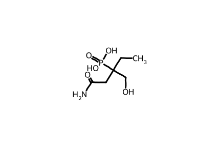 CCC(CO)(CC(N)=O)P(=O)(O)O